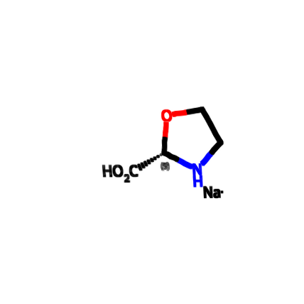 O=C(O)[C@H]1NCCO1.[Na]